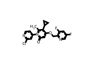 Cc1c(C2CC2)c(OCc2ncc(F)cc2F)cc(=O)n1-c1ccnc(Cl)c1